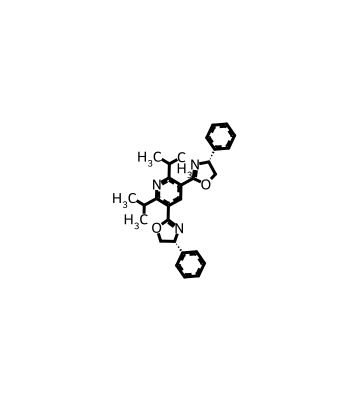 CC(C)c1nc(C(C)C)c(C2=N[C@H](c3ccccc3)CO2)cc1C1=N[C@H](c2ccccc2)CO1